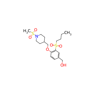 CCCCS(=O)(=O)c1cc(CO)ccc1OCC1CCN(S(C)(=O)=O)CC1